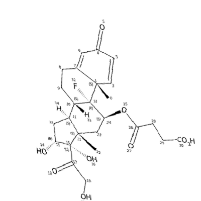 C[C@]12C=CC(=O)C=C1CC[C@H]1[C@@H]3C[C@@H](O)[C@](O)(C(=O)CO)[C@@]3(C)C[C@H](OC(=O)CCC(=O)O)[C@@]12F